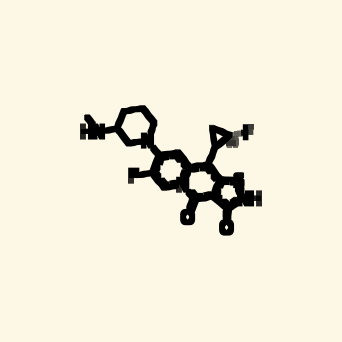 CNC1CCCN(c2cc3c(C4C[C@@H]4F)c4s[nH]c(=O)c4c(=O)n3cc2F)C1